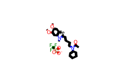 COc1cc2[te]c(C=CC=CN(C(C)=O)c3ccccc3)[n+](C)c2cc1OC.O=S(=O)([O-])C(F)(F)F